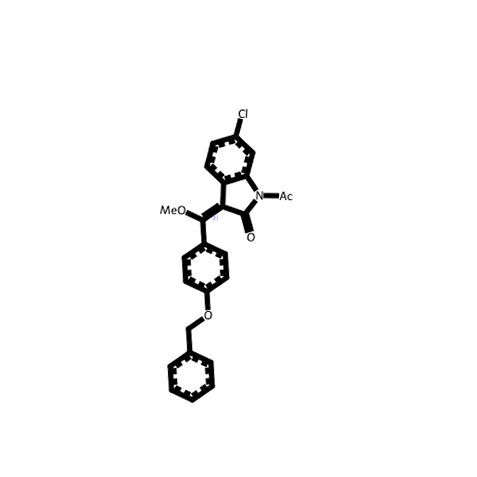 CO/C(=C1/C(=O)N(C(C)=O)c2cc(Cl)ccc21)c1ccc(OCc2ccccc2)cc1